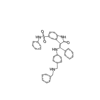 O=C1Nc2ccc(S(=O)(=O)Nc3ccccc3)cc2C1=C(Nc1ccc(CNCc2ccccc2)cc1)c1ccccc1